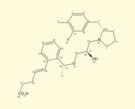 Cc1ccc(C[C@@H]2CCCN2C[C@@H](O)CO[C@H](C)c2ccccc2C=CCCC(=O)O)cc1F